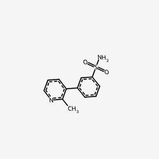 Cc1ncccc1-c1cccc(S(N)(=O)=O)c1